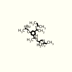 C=C(/C=N\C(C)=C/C)CNC(=C)c1cc(OCC(C)CCCC)cc(C(=C)S/C(C)=C\C)c1